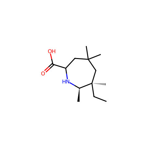 CC[C@]1(C)CC(C)(C)CC(C(=O)O)N[C@@H]1C